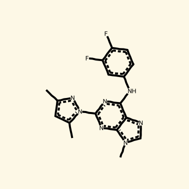 Cc1cc(C)n(-c2nc(Nc3ccc(F)c(F)c3)c3ncn(C)c3n2)n1